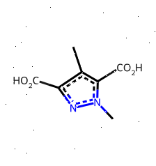 Cc1c(C(=O)O)nn(C)c1C(=O)O